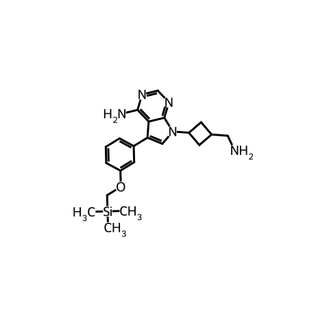 C[Si](C)(C)COc1cccc(-c2cn(C3CC(CN)C3)c3ncnc(N)c23)c1